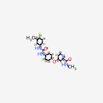 CNC(=O)c1cc(Oc2ccc(NC(=O)Nc3ccc(F)c(C)c3)c(F)c2)ccn1